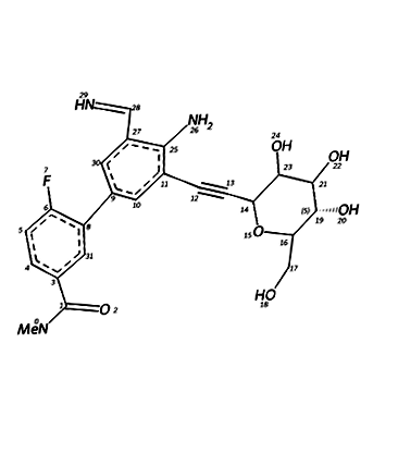 CNC(=O)c1ccc(F)c(-c2cc(C#CC3OC(CO)[C@@H](O)C(O)C3O)c(N)c(C=N)c2)c1